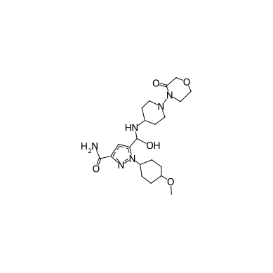 COC1CCC(n2nc(C(N)=O)cc2C(O)NC2CCN(N3CCOCC3=O)CC2)CC1